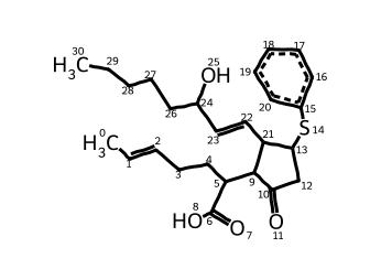 C/C=C/CCC(C(=O)O)C1C(=O)CC(Sc2ccccc2)C1/C=C/C(O)CCCCC